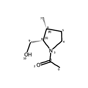 CC(=O)N1CC[C@@H](C)[C@H]1CO